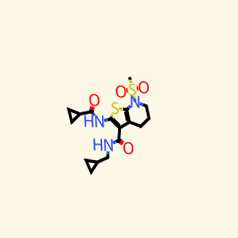 CS(=O)(=O)N1CCCc2c1sc(NC(=O)C1CC1)c2C(=O)NCC1CC1